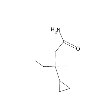 CCC(C)(CC(N)=O)C1CC1